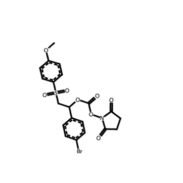 COc1ccc(S(=O)(=O)CC(OC(=O)ON2C(=O)CCC2=O)c2ccc(Br)cc2)cc1